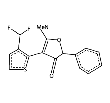 CNC1=C(c2sccc2C(F)F)C(=O)C(c2ccccc2)O1